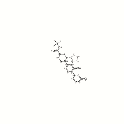 CC(C)(C)OC(=O)N1CCN(c2cnn(-c3cccc(Cl)c3)c(=O)c2C2CCCC2)CC1